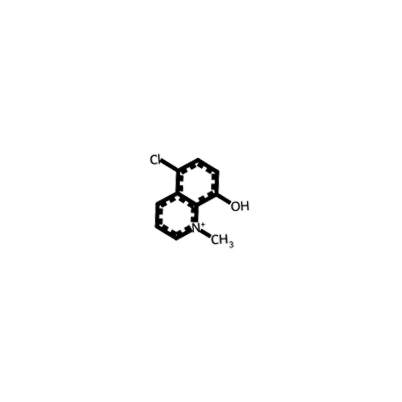 C[n+]1cccc2c(Cl)ccc(O)c21